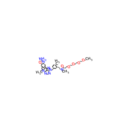 CCOCCOCCOCCOCCC(=O)N(C)CCc1cc(Cn2nc(-c3ccc4oc(N)nc4c3)c3c(N(C)C)ncnc32)ccc1C